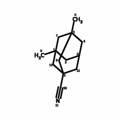 CC12CC3CC(C)(C1)CC(C#N)(C3)C2